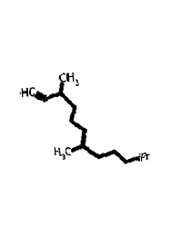 [CH]=CC(C)CCCC(C)CCCC(C)C